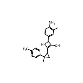 Cc1cc([C@@H]2NC(C3CC3(C)c3ccc(C(F)(F)F)nc3)=C2O)ccc1N